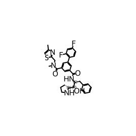 Cc1csc(CN(C)C(=O)c2cc(C(=O)N[C@@H](Cc3ccccc3)[C@H](O)[C@H]3CCCN3)cc(-c3ccc(F)cc3F)c2)n1